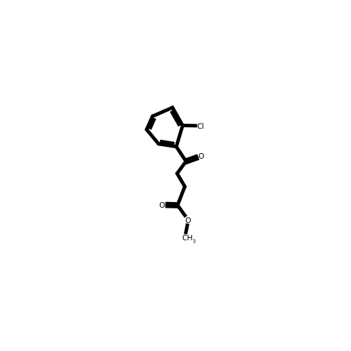 COC(=O)CCC(=O)c1ccccc1Cl